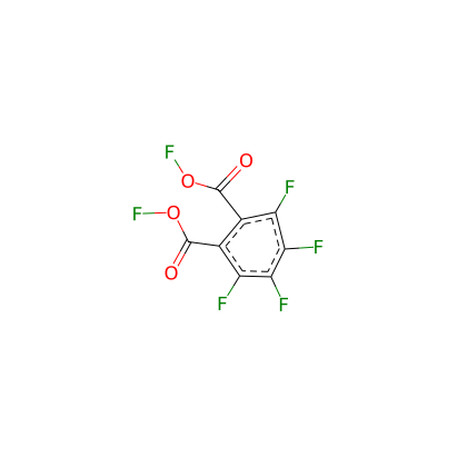 O=C(OF)c1c(F)c(F)c(F)c(F)c1C(=O)OF